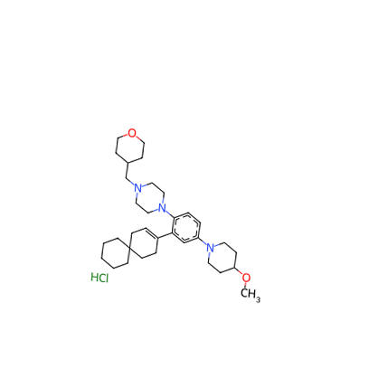 COC1CCN(c2ccc(N3CCN(CC4CCOCC4)CC3)c(C3=CCC4(CCCCC4)CC3)c2)CC1.Cl